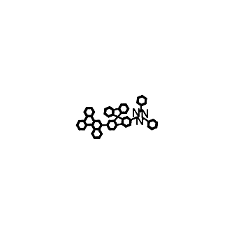 c1ccc(-c2nc(-c3ccccc3)nc(-c3ccc4c(c3)C3(c5ccccc5-c5ccccc53)c3cc(-c5cc6c7ccccc7c7ccccc7c6c6ccccc56)ccc3-4)n2)cc1